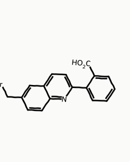 O=C(O)c1ccccc1-c1ccc2cc(CBr)ccc2n1